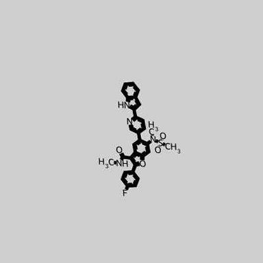 CNC(=O)c1c(-c2ccc(F)cc2)oc2cc(N(C)S(C)(=O)=O)c(-c3ccc(-c4cc5ccccc5[nH]4)nc3)cc12